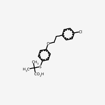 CC(C)(Sc1ccc(OCCc2ccc(Cl)cc2)cc1)C(=O)O